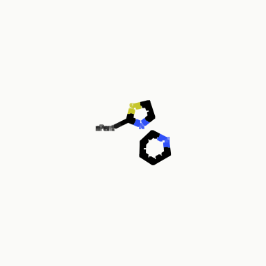 CCCCCc1nccs1.c1ccncc1